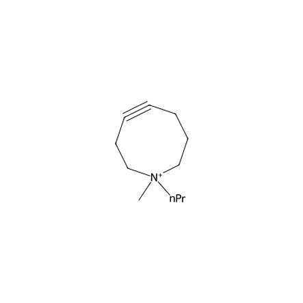 CCC[N+]1(C)CCC#CCCC1